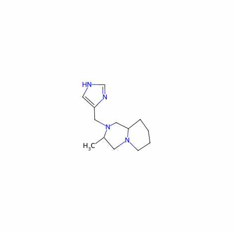 CC1CN2CCCCC2CN1Cc1c[nH]cn1